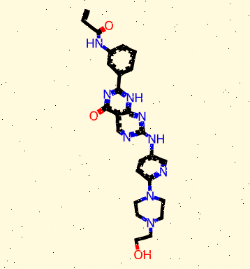 C=CC(=O)Nc1cccc(-c2nc(=O)c3cnc(Nc4ccc(N5CCN(CCO)CC5)nc4)nc3[nH]2)c1